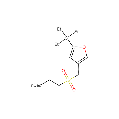 CCCCCCCCCCCCS(=O)(=O)Cc1coc([Si](CC)(CC)CC)c1